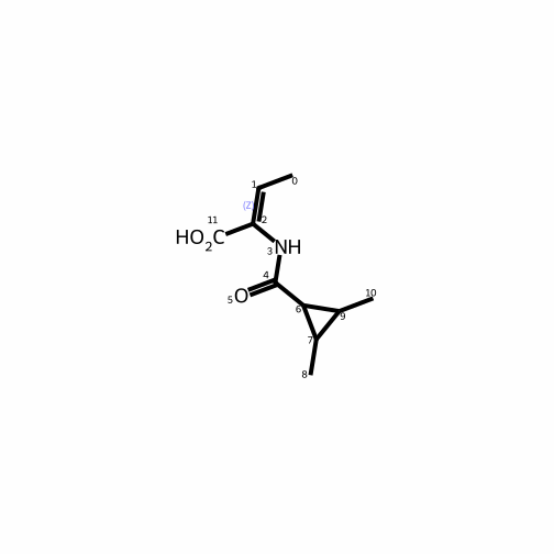 C/C=C(\NC(=O)C1C(C)C1C)C(=O)O